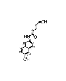 C#CCCCC(=O)Nc1ccc2cc(O)ccc2c1